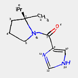 CC(C)[C@]1(C)CCCN1C(=O)c1c[nH]cn1